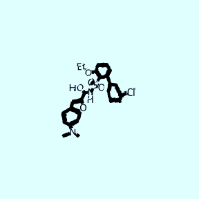 CCOc1cccc(-c2cccc(Cl)c2)c1S(=O)(=O)NC(O)c1cc2ccc(N(C)C)cc2o1